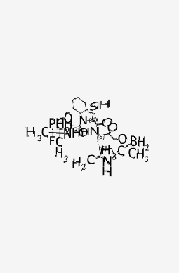 BC(C)(C)OCC(=O)[C@H](C[C@@H]1CCNC1=C)NC(=O)[C@@H]1CC2(S)CCCCC2N1C(=O)C(=O)NC(C)(C)C(C)(F)P